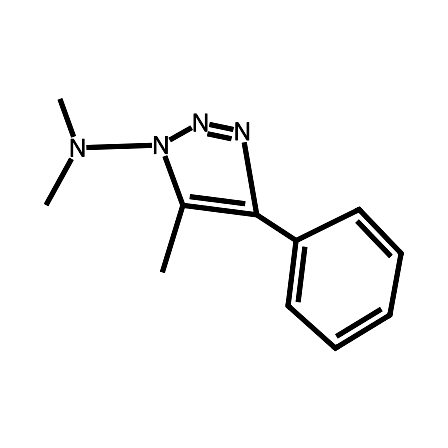 Cc1c(-c2ccccc2)nnn1N(C)C